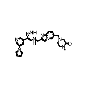 CN1CCN(Cc2ccc3nc(CN/C=C(\N=N)c4cncc(-n5cccc5)c4)cn3c2)CC1=O